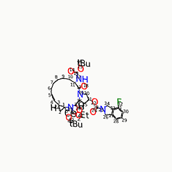 CCOC(=O)[C@@]12C[C@H]1/C=C\CCCCC[C@H](NC(=O)OC(C)(C)C)C(=O)N1C[C@H](OC(=O)N3Cc4cccc(F)c4C3)C[C@H]1C(=O)N2C(=O)OC(C)(C)C